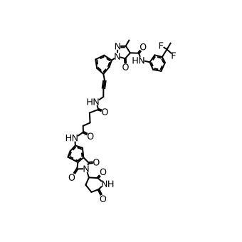 CC1=NN(c2cccc(C#CCNC(=O)CCCC(=O)Nc3ccc4c(c3)C(=O)N(C3CCC(=O)NC3=O)C4=O)c2)C(=O)C1C(=O)Nc1cccc(C(C)(F)F)c1